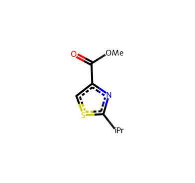 COC(=O)c1csc(C(C)C)n1